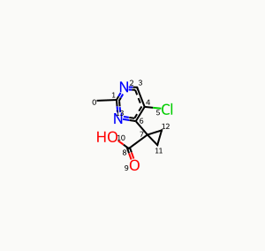 Cc1ncc(Cl)c(C2(C(=O)O)CC2)n1